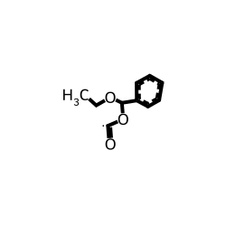 CCOC(O[C]=O)c1ccccc1